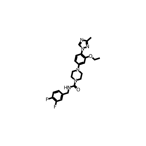 CCOc1cc(N2CCN(C(=O)NCc3ccc(F)c(F)c3)CC2)ccc1-n1cnc(C)n1